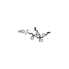 C=CCOCC(CC)(COCC=C)COC(=O)CCC(=O)O